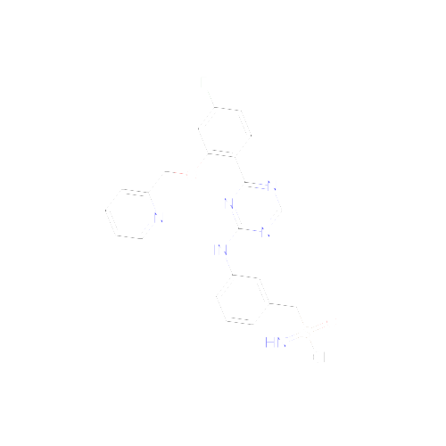 CS(=N)(=O)Cc1cccc(Nc2ncnc(-c3ccc(F)cc3OCc3ccccn3)n2)c1